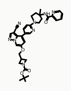 CC1(NC(=O)c2ccccn2)CCN(c2ccc(-c3cc(OCC4CN(C(=O)OC(C)(C)C)C4)cn4ncc(C#N)c34)cn2)CC1